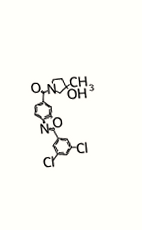 CC1(O)CCN(C(=O)c2ccc3nc(-c4cc(Cl)cc(Cl)c4)oc3c2)C1